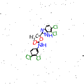 CC(OC(=O)Nc1ccc(Cl)c(Cl)c1)c1nc2ccc(Cl)c(Cl)c2[nH]1